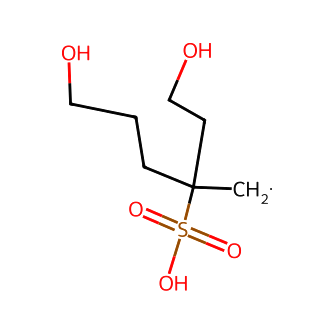 [CH2]C(CCO)(CCCO)S(=O)(=O)O